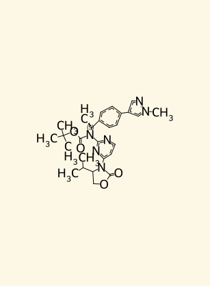 CC(C)C1COC(=O)N1c1ccnc(N(C(=O)OC(C)(C)C)[C@@H](C)c2ccc(-c3cnn(C)c3)cc2)n1